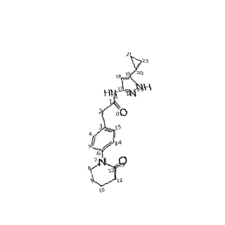 O=C(Cc1ccc(N2CCCCC2=O)cc1)Nc1cc(C2CC2)[nH]n1